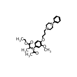 CCOC(=O)C(C)N(C(C)=O)c1ccc(OCCCN2CCN(c3ccccc3)CC2)c(OC)c1